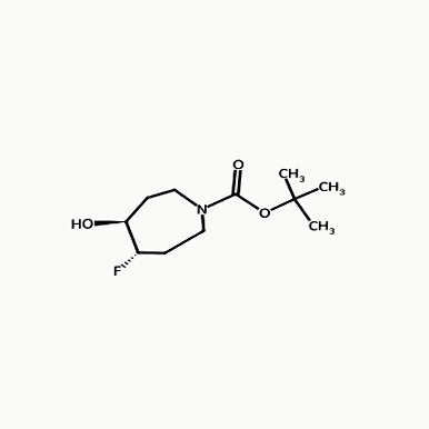 CC(C)(C)OC(=O)N1CC[C@H](O)[C@@H](F)CC1